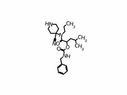 CCCN(C(=O)C(CC(C)C)OC(=O)NCc1ccccc1)C1(C#N)CCNCC1